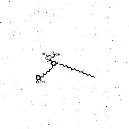 CCCCCCCCCCCCCCCCCCOc1cc(OCCCCCCc2cccc(O)c2O)cc(C(=O)N(CC(=O)O)CC(=O)O)c1